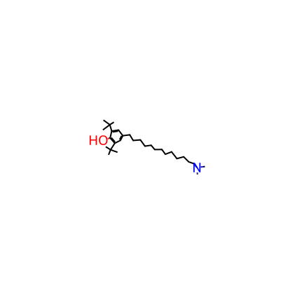 CN(C)CCCCCCCCCCCCCc1cc(C(C)(C)C)c(O)c(C(C)(C)C)c1